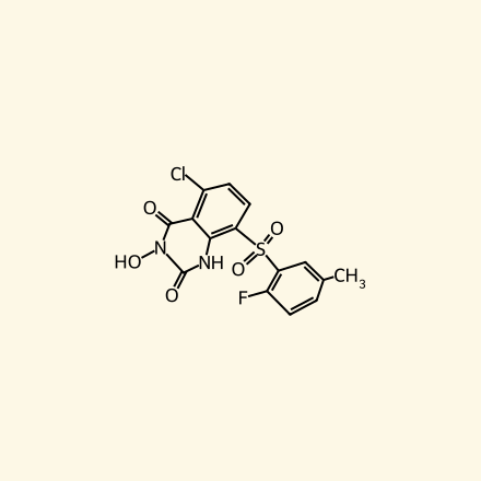 Cc1ccc(F)c(S(=O)(=O)c2ccc(Cl)c3c(=O)n(O)c(=O)[nH]c23)c1